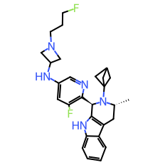 C[C@@H]1Cc2c([nH]c3ccccc23)[C@@H](c2ncc(NC3CN(CCCF)C3)cc2F)N1C12CC(C1)C2